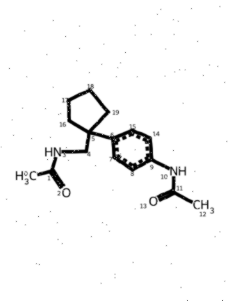 CC(=O)NCC1(c2ccc(NC(C)=O)cc2)CCCC1